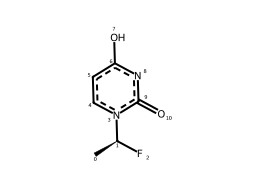 C[C@H](F)n1ccc(O)nc1=O